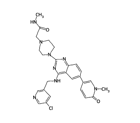 CNC(=O)CN1CCN(c2nc(NCc3cncc(Cl)c3)c3cc(-c4ccc(=O)n(C)c4)ccc3n2)CC1